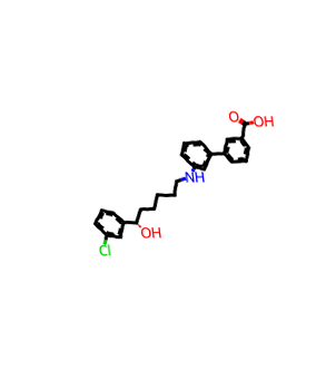 O=C(O)c1cccc(-c2cccc(NCCCCC[C@H](O)c3cccc(Cl)c3)c2)c1